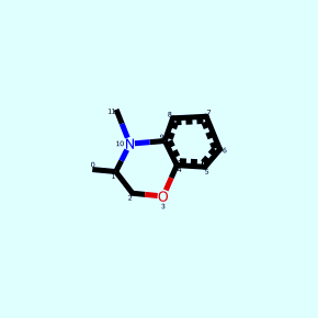 CC1COc2ccccc2N1C